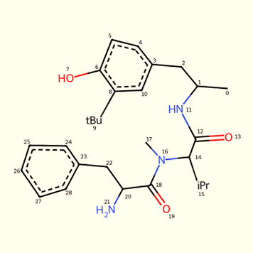 CC(Cc1ccc(O)c(C(C)(C)C)c1)NC(=O)C(C(C)C)N(C)C(=O)C(N)Cc1ccccc1